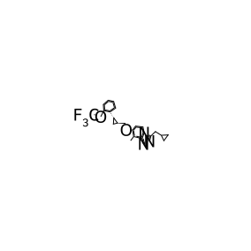 Cc1c(OC[C@H]2C[C@@H]2c2ccccc2OC(F)(F)F)ccn2c(CC3CC3)nnc12